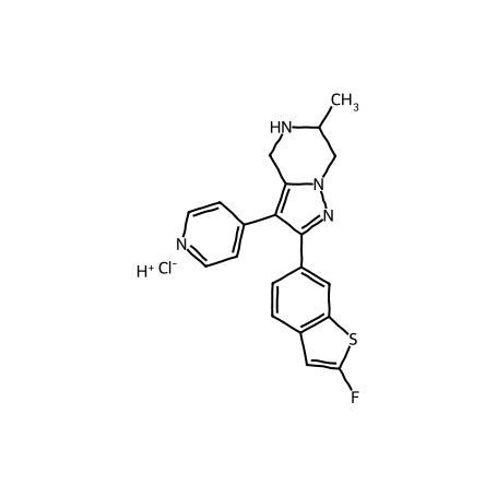 CC1Cn2nc(-c3ccc4cc(F)sc4c3)c(-c3ccncc3)c2CN1.[Cl-].[H+]